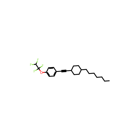 CCCCCCCC1CCC(C#Cc2ccc(OC(F)(F)C(F)F)cc2)CC1